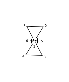 [CH2]1[CH2][Pd]123([CH2][CH2]2)[CH2][CH2]3